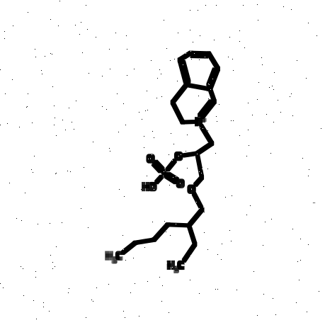 CCCCC(CC)COCC(C[N+]1=Cc2ccccc2CC1)OS(=O)(=O)O